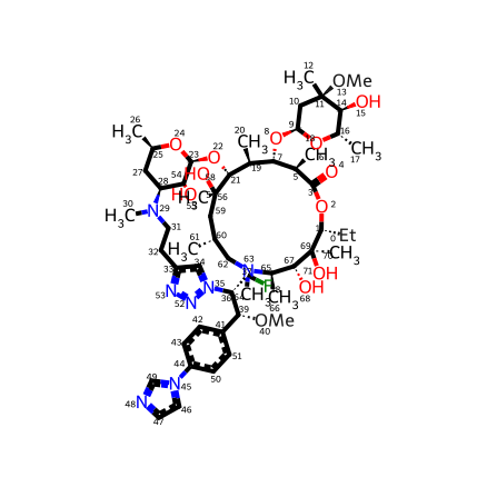 CC[C@H]1OC(=O)[C@H](C)[C@@H](O[C@H]2C[C@@](C)(OC)[C@@H](O)[C@H](C)O2)[C@H](C)[C@@H](O[C@@H]2O[C@H](C)C[C@H](N(C)CCc3cn([C@H](CF)[C@H](OC)c4ccc(-n5ccnc5)cc4)nn3)[C@H]2O)[C@](C)(O)C[C@@H](C)CN(C)[C@H](C)[C@@H](O)[C@]1(C)O